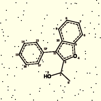 CC(O)c1oc2ccccc2c1-c1ccccc1